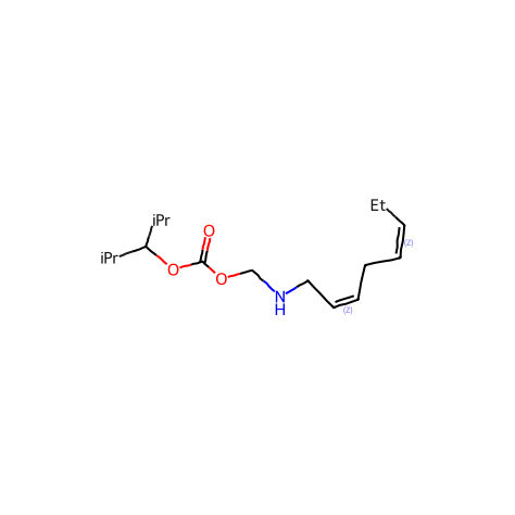 CC/C=C\C/C=C\CNCOC(=O)OC(C(C)C)C(C)C